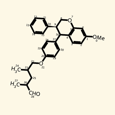 COc1ccc2c(c1)OC[C@H](c1ccccc1)C2c1ccc(OCC(C)CC(C)C=O)cc1